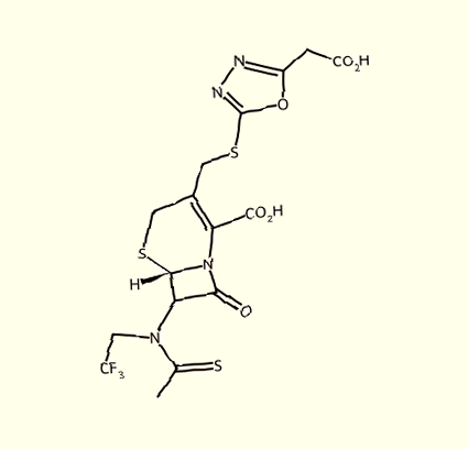 CC(=S)N(CC(F)(F)F)C1C(=O)N2C(C(=O)O)=C(CSc3nnc(CC(=O)O)o3)CS[C@@H]12